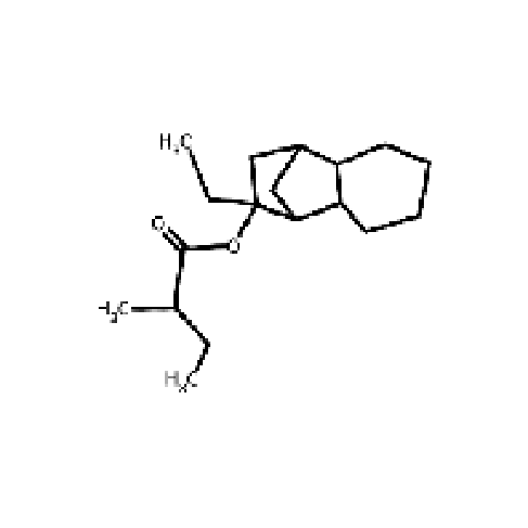 CCC(C)C(=O)OC1(CC)CC2CC1C1CCCCC21